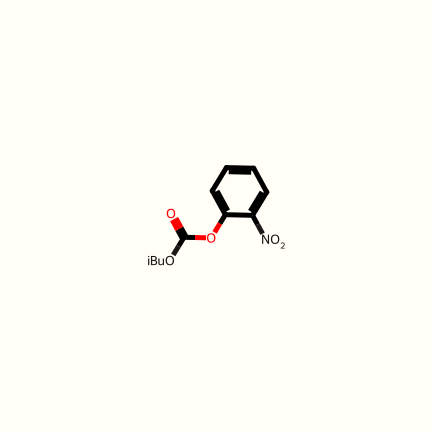 CC(C)COC(=O)Oc1ccccc1[N+](=O)[O-]